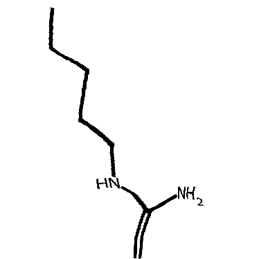 C=C(N)NCCCCC